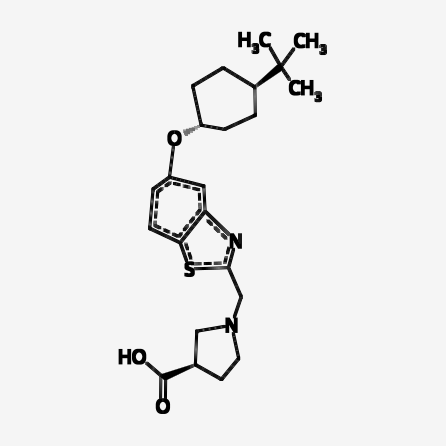 CC(C)(C)[C@H]1CC[C@H](Oc2ccc3sc(CN4CC[C@@H](C(=O)O)C4)nc3c2)CC1